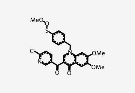 COOSc1ccc(Cn2cc(C(=O)c3ccc(Cl)nc3)c(=O)c3cc(OC)c(OC)cc32)cc1